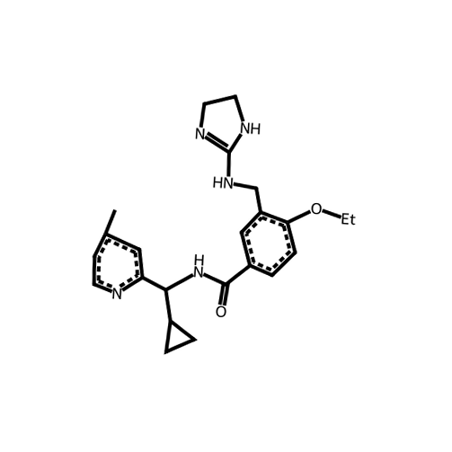 CCOc1ccc(C(=O)NC(c2cc(C)ccn2)C2CC2)cc1CNC1=NCCN1